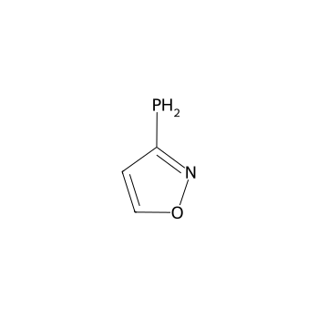 Pc1ccon1